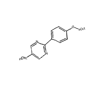 CCCCCCCCCCc1cnc(-c2ccc(OCCCCCCCC)cc2)nc1